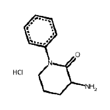 Cl.NC1CCCN(c2ccccc2)C1=O